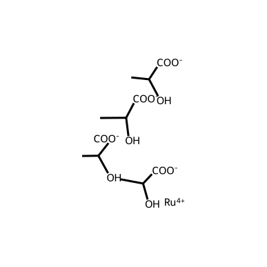 CC(O)C(=O)[O-].CC(O)C(=O)[O-].CC(O)C(=O)[O-].CC(O)C(=O)[O-].[Ru+4]